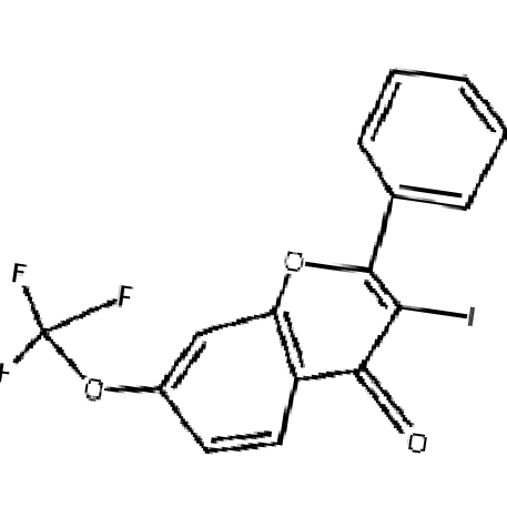 O=c1c(I)c(-c2ccccc2)oc2cc(OC(F)(F)F)ccc12